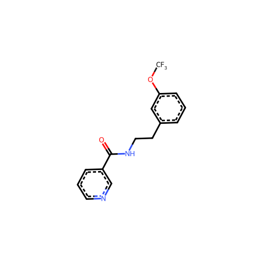 O=C(NCCc1cccc(OC(F)(F)F)c1)c1cccnc1